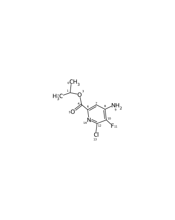 CC(C)OC(=O)c1cc(N)c(F)c(Cl)n1